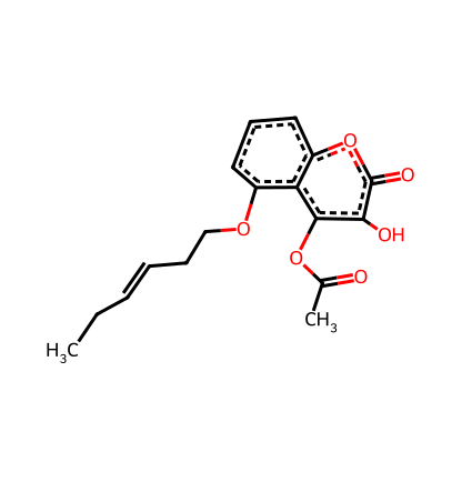 CCC=CCCOc1cccc2oc(=O)c(O)c(OC(C)=O)c12